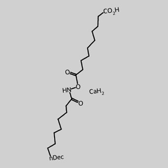 CCCCCCCCCCCCCCCCCC(=O)NOC(=O)CCCCCCCCC(=O)O.[CaH2]